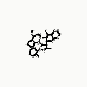 CCOc1c(-c2c(C)nn(-c3ccccc3C)c2Nc2ccccc2C(=O)OC)cc2nccnc2c1F